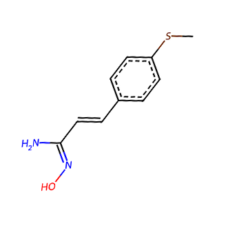 CSc1ccc(C=CC(N)=NO)cc1